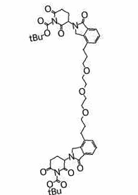 CC(C)(C)OC(=O)N1C(=O)CCC(N2Cc3c(CCCOCCOCCOCCCc4cccc5c4CN(C4CCC(=O)N(C(=O)OC(C)(C)C)C4=O)C5=O)cccc3C2=O)C1=O